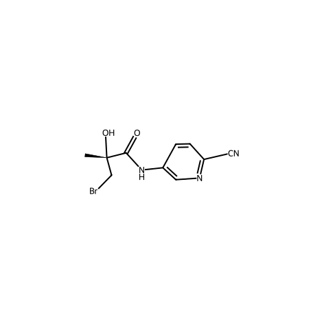 C[C@](O)(CBr)C(=O)Nc1ccc(C#N)nc1